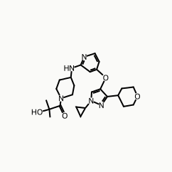 CC(C)(O)C(=O)N1CCC(Nc2cc(Oc3cn(C4CC4)nc3C3CCOCC3)ccn2)CC1